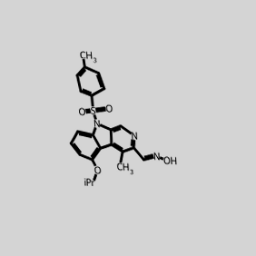 Cc1ccc(S(=O)(=O)n2c3cccc(OC(C)C)c3c3c(C)c(C=NO)ncc32)cc1